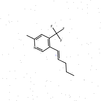 CCC/C=C/c1cnc(C)cc1C(F)(F)F